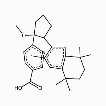 COC1(c2ccc(C(=O)O)cn2)CCCC1c1cc2c(cc1C)C(C)(C)CCC2(C)C